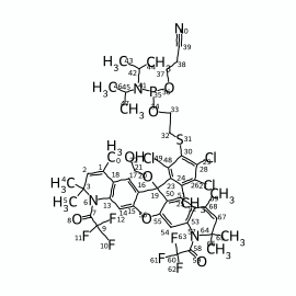 CC1=CC(C)(C)N(C(=O)C(F)(F)F)c2cc3c(cc21)C(OCO)(c1c(C)c(Cl)c(Cl)c(SCCOP(OCCC#N)N(C(C)C)C(C)C)c1Cl)c1cc2c(cc1O3)N(C(=O)C(F)(F)F)C(C)(C)C=C2C